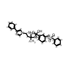 CC(C)(CCn1cnc(-c2ccccc2)c1)NC(C)(O)c1cccc(NS(=O)(=O)c2ccccc2)c1